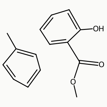 COC(=O)c1ccccc1O.Cc1ccccc1